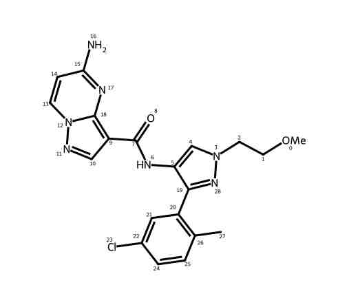 COCCn1cc(NC(=O)c2cnn3ccc(N)nc23)c(-c2cc(Cl)ccc2C)n1